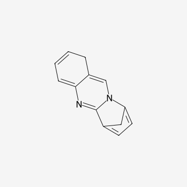 C1=CCC2=CN3C4=CC=C(C4)C3=NC2=C1